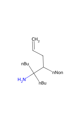 C=CCC(CCCCCCCCC)C(N)(CCCC)CCCC